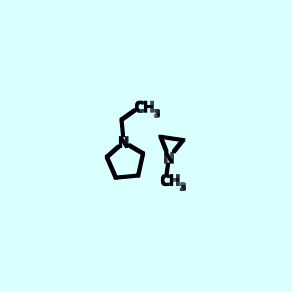 CCN1CCCC1.CN1CC1